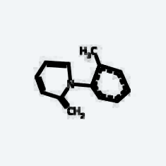 C=C1C=CC=CN1c1ccccc1C